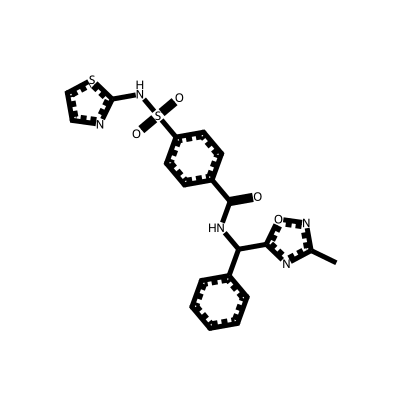 Cc1noc(C(NC(=O)c2ccc(S(=O)(=O)Nc3nccs3)cc2)c2ccccc2)n1